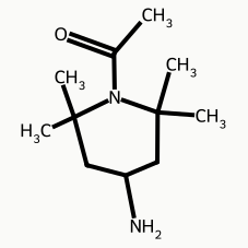 CC(=O)N1C(C)(C)CC(N)CC1(C)C